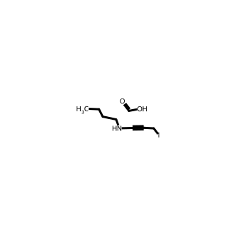 CCCCNC#CCI.O=CO